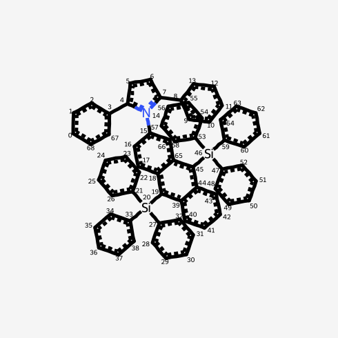 c1ccc(-c2ccc(-c3ccccc3)n2-c2ccc3c([Si](c4ccccc4)(c4ccccc4)c4ccccc4)c4ccccc4c([Si](c4ccccc4)(c4ccccc4)c4ccccc4)c3c2)cc1